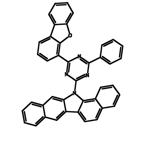 c1ccc(-c2nc(-c3cccc4c3oc3ccccc34)nc(-n3c4cc5ccccc5cc4c4ccc5ccccc5c43)n2)cc1